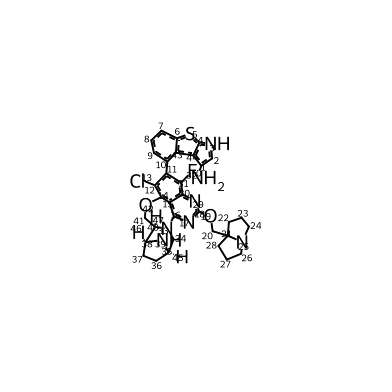 Nc1c[nH]c2sc3cccc(-c4c(Cl)c5c6c(nc(OCC78CCCN7CCC8)nc6c4F)N4C[C@H]6CC[C@H](N6)[C@H]4CO5)c3c12